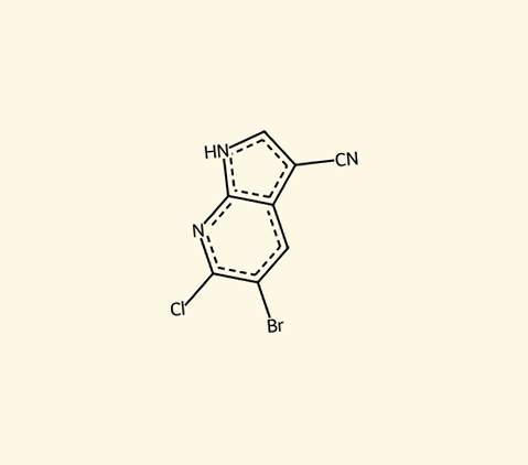 N#Cc1c[nH]c2nc(Cl)c(Br)cc12